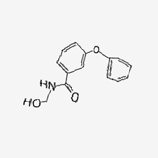 O=C(NCO)c1cccc(Oc2ccccc2)c1